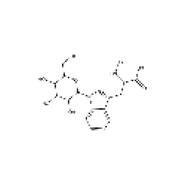 CC(C)NC(Cc1cn(C2OC(CO)C(O)C(O)C2O)c2ccccc12)C(=O)C(C)C